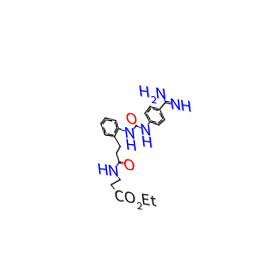 CCOC(=O)CCNC(=O)CCc1ccccc1NC(=O)Nc1ccc(C(=N)N)cc1